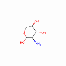 N[C@H]1C(O)OC[C@@H](O)[C@@H]1O